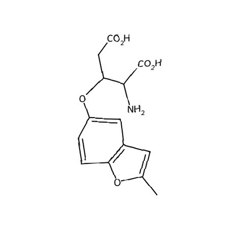 Cc1cc2cc(OC(CC(=O)O)C(N)C(=O)O)ccc2o1